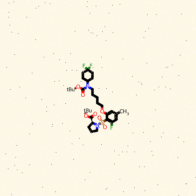 Cc1cc(F)c(S(=O)(=O)N2CCC[C@H]2C(=O)OC(C)(C)C)c(OCCCCCN(C(=O)OC(C)(C)C)C2CCC(F)(F)CC2)c1